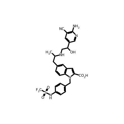 CC(Cc1ccc2c(c1)cc(C(=O)O)n2Cc1ccc(NS(=O)(=O)C(F)(F)F)cc1)NCC(O)c1cnc(N)c(C#N)c1